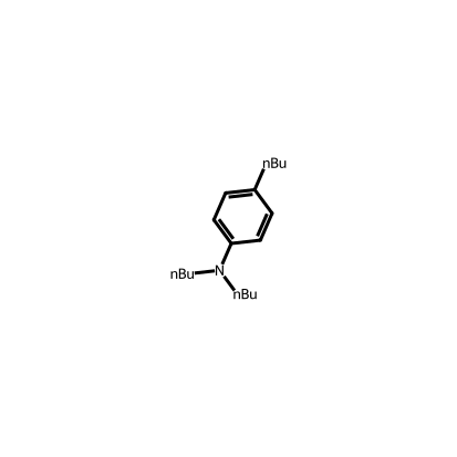 CCCCc1ccc(N(CCCC)CCCC)cc1